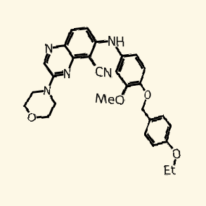 CCOc1ccc(COc2ccc(Nc3ccc4ncc(N5CCOCC5)nc4c3C#N)cc2OC)cc1